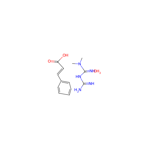 CN(C)C(=N)NC(=N)N.O.O=C(O)C=Cc1ccccc1